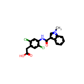 Cn1cc(C(=O)Nc2cc(Cl)c(CC(=O)O)cc2Cl)c2ccccc21